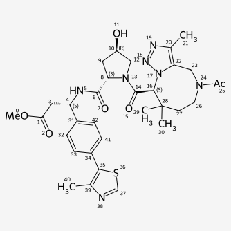 COC(=O)C[C@H](NC(=O)[C@@H]1C[C@@H](O)CN1C(=O)[C@H]1n2nnc(C)c2CN(C(C)=O)CCC1(C)C)c1ccc(-c2scnc2C)cc1